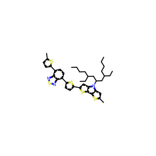 CCCCC(CC)CC(CC(CC)CCCC)n1c2cc(C)sc2c2sc(-c3ccc(-c4ccc(-c5ccc(C)s5)c5nsnc45)s3)cc21